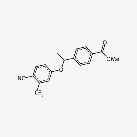 COC(=O)c1ccc(C(C)Oc2ccc(C#N)c(C(F)(F)F)c2)cc1